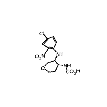 O=C(O)N[C@@H]1CCOC[C@H]1Nc1ccc(Cl)cc1[N+](=O)[O-]